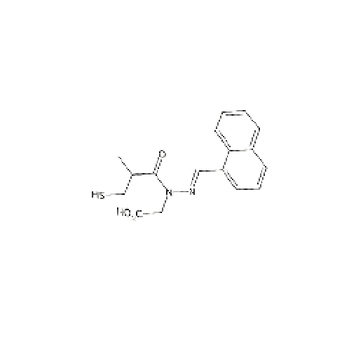 CC(CS)C(=O)N(CC(=O)O)N=Cc1cccc2ccccc12